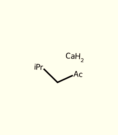 CC(=O)CC(C)C.[CaH2]